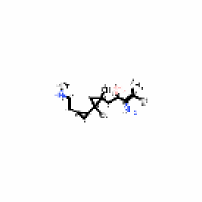 BC(CC1(C)CC1(CC)C1C[C@H]1CCNC(C)C)/C(N)=C(\C)CC